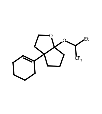 CCC(OC12CCCC1(C1=CCCCC1)CCO2)C(F)(F)F